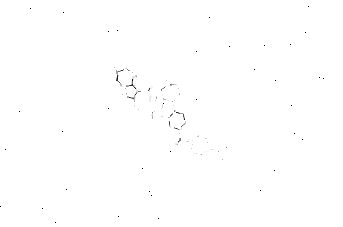 CCCC1(NC(=O)c2c(N)nn3cc(F)cnc23)C=NCCC1c1ccc(C(=O)N2CCN(C3COC3)CC2)cc1